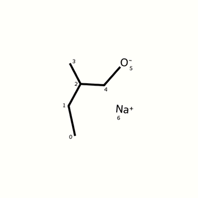 CCC(C)C[O-].[Na+]